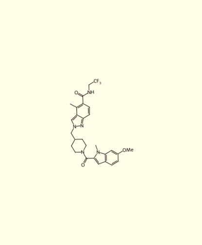 COc1ccc2cc(C(=O)N3CCC(Cn4cc5c(C)c(C(=O)NCC(F)(F)F)ccc5n4)CC3)n(C)c2c1